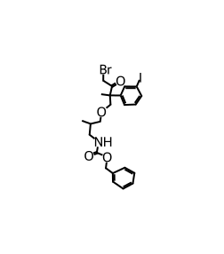 CC(CNC(=O)OCc1ccccc1)COCC(C)(C(=O)CBr)c1cccc(I)c1